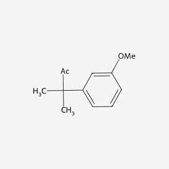 COc1cccc(C(C)(C)C(C)=O)c1